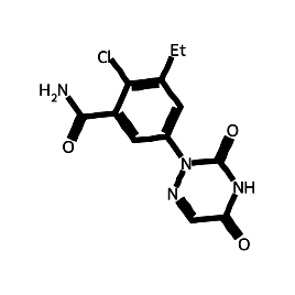 CCc1cc(-n2ncc(=O)[nH]c2=O)cc(C(N)=O)c1Cl